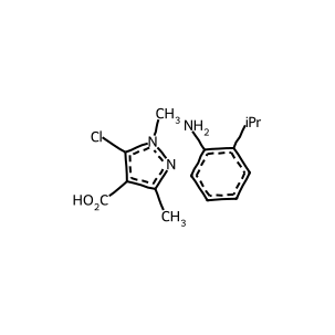 CC(C)c1ccccc1N.Cc1nn(C)c(Cl)c1C(=O)O